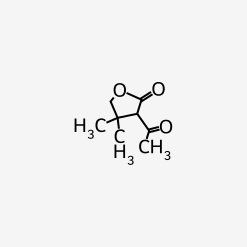 CC(=O)C1C(=O)OCC1(C)C